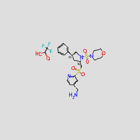 NCc1ccnc(S(=O)(=O)C[C@H]2C[C@@H](c3ccccc3)CN2S(=O)(=O)N2CCOCC2)c1.O=C(O)C(F)(F)F